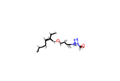 CCCCC(CC)COCCCN[C]=O